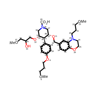 COCCCOc1ccc([C@@H]2[C@@H](OCc3ccc4c(c3)N(CCCOC)CCO4)CN(C(=O)O)C[C@H]2OCC(O)COC)cc1